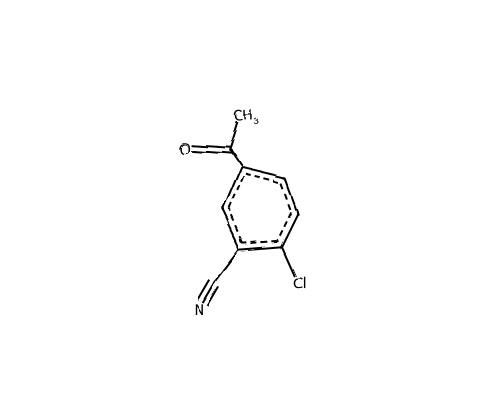 CC(=O)c1ccc(Cl)c(C#N)c1